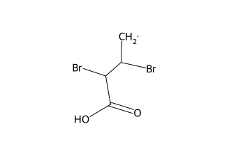 [CH2]C(Br)C(Br)C(=O)O